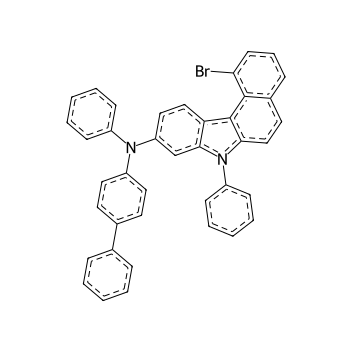 Brc1cccc2ccc3c(c4ccc(N(c5ccccc5)c5ccc(-c6ccccc6)cc5)cc4n3-c3ccccc3)c12